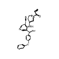 C=CC(=O)N1CCC(Nc2c(C#N)cncc2C(=N)c2ccc(Oc3ccccc3)cc2)C1